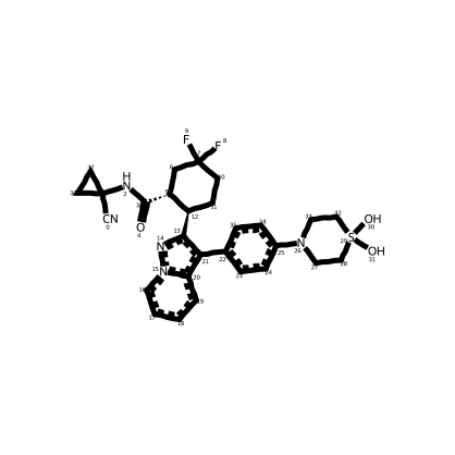 N#CC1(NC(=O)[C@@H]2CC(F)(F)CC[C@H]2c2nn3ccccc3c2-c2ccc(N3CCS(O)(O)CC3)cc2)CC1